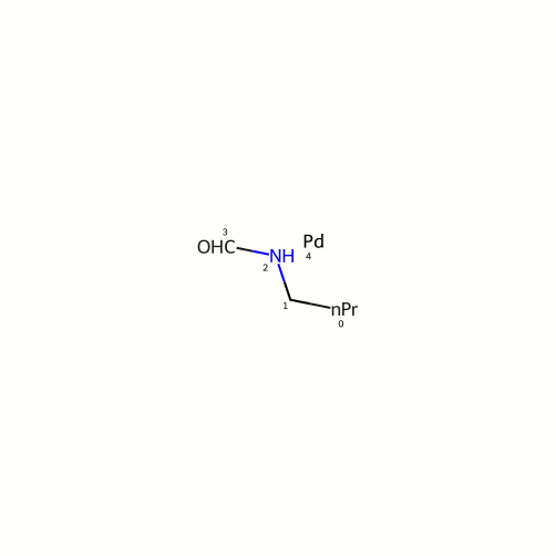 CCCCNC=O.[Pd]